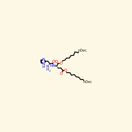 CCCCCCCCCCCCCCCCCCOC(=O)CC[C@@H](NC(=O)[C@@H](N)Cc1ncc[nH]1)C(=O)OCCCCCCCCCCCCCCCCCC